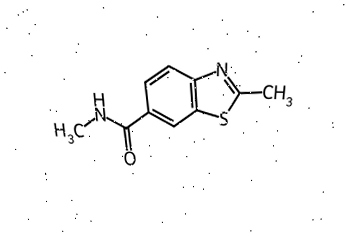 CNC(=O)c1ccc2nc(C)sc2c1